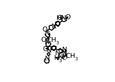 CC(C)n1cnc2cc(-c3ccc4c(c3)N([C@H]3C[C@@H](N5CCCCC5)C3)C(=O)C43CCN(C(=O)C4(C)CCN(C(=O)C5CCN(c6ccc(C7CCC(=O)NC7=O)cc6)CC5)CC4)CC3)nc(NC3CC3)c21